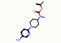 C=C(C)OC(=O)N(C)C1CCN(c2ccc(N)cn2)CC1